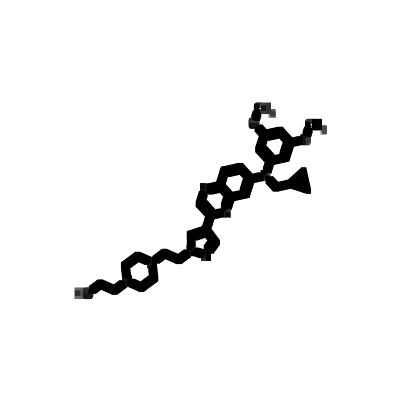 COc1cc(OC)cc(N(CC2CC2)c2ccc3ncc(-c4cnn(CCN5CCN(CCO)CC5)c4)nc3c2)c1